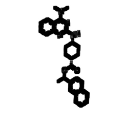 CC(OC(=O)[C@H]1CC[C@@H](Nc2nc(N(C)C)c3ccccc3n2)CC1)c1ccc2ccccc2c1